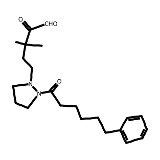 CC(C)(CCN1CCCN1C(=O)CCCCCc1ccccc1)C(=O)C=O